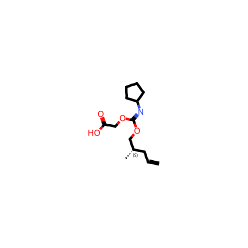 C=CC[C@H](C)COC(=NC1CCCC1)OCC(=O)O